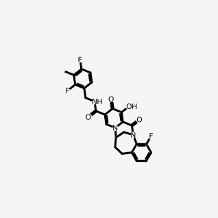 Cc1c(F)ccc(CNC(=O)c2cn3c(c(O)c2=O)C(=O)N2CC3CCc3cccc(F)c32)c1F